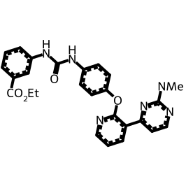 CCOC(=O)c1cccc(NC(=O)Nc2ccc(Oc3ncccc3-c3ccnc(NC)n3)cc2)c1